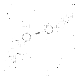 Cl.O=C1CCC(N2Cc3cc(C#Cc4ccc(N5CCC6(CNC6)C5)nn4)ccc3C2=O)C(=O)N1